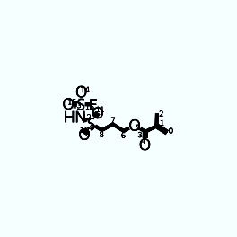 C=C(C)C(=O)OCCCS(=O)(=O)NS(=O)(=O)F